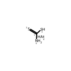 NC(=S)S.[AtH]